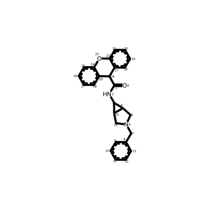 O=C(NC1C2CN(Cc3ccccc3)CC21)C1c2ccccc2Oc2ccccc21